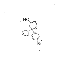 OC1=CC=NC(c2ccc(Br)cc2)(c2ccsc2)C1